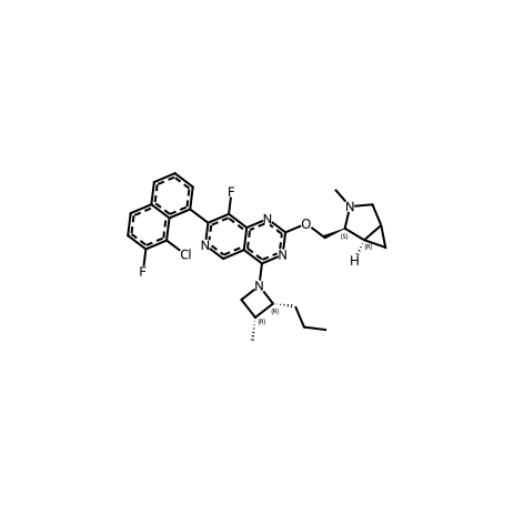 CCC[C@@H]1[C@H](C)CN1c1nc(OC[C@@H]2[C@@H]3CC3CN2C)nc2c(F)c(-c3cccc4ccc(F)c(Cl)c34)ncc12